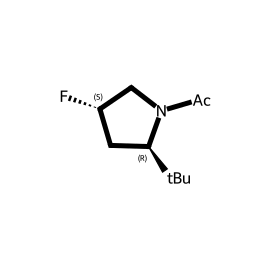 CC(=O)N1C[C@@H](F)C[C@@H]1C(C)(C)C